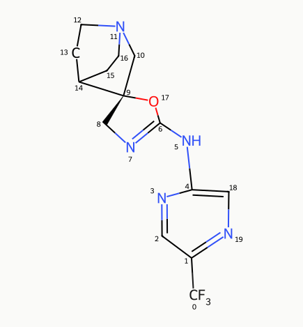 FC(F)(F)c1cnc(NC2=NC[C@@]3(CN4CCC3CC4)O2)cn1